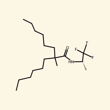 CCCCCCC(C)(CCCCCC)C(=O)N[C@@H](C)C(F)(F)F